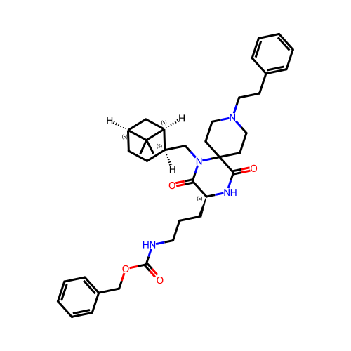 CC1(C)[C@H]2CC[C@H](CN3C(=O)[C@H](CCCNC(=O)OCc4ccccc4)NC(=O)C34CCN(CCc3ccccc3)CC4)[C@@H]1C2